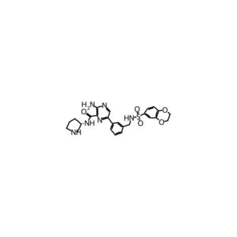 Nc1ncc(-c2cccc(CNS(=O)(=O)c3ccc4c(c3)OCCO4)c2)nc1C(=O)N[C@H]1CCCNC1